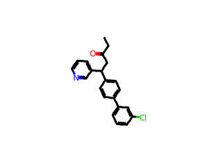 CCC(=O)CC(c1ccc(-c2cccc(Cl)c2)cc1)c1cccnc1